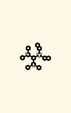 c1ccc(-c2cc(-c3cc(-c4cc(-c5ccccc5)nc(-c5ccccc5)c4)cc(-c4nc(-c5ccc6ccccc6c5)nc(-c5ccc6ccccc6c5)n4)c3)cc(-c3ccccc3)n2)cc1